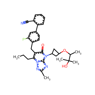 CCCc1c(Cc2ccc(-c3ccccc3C#N)cc2F)c(=O)n(C2CC(OC(C)C(C)(C)O)C2)c2nc(C)nn12